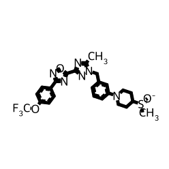 Cc1nc(-c2nc(-c3ccc(OC(F)(F)F)cc3)no2)nn1Cc1cccc(N2CCC([S+](C)[O-])CC2)c1